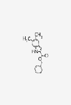 Cc1cc2cc(C(=O)OCc3ccccc3)[nH]c2cc1C